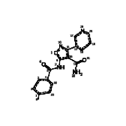 Cc1ccc(C(=O)Nc2onc(-c3cccnc3)c2C(N)=O)cc1